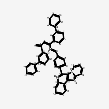 C=C(/C=C(\N=C\c1ccc(-c2nc3ccccc3c3nc4ccccn4c23)cc1)c1cccc(-c2ccccc2)c1)c1cccc(-c2ccccc2)c1